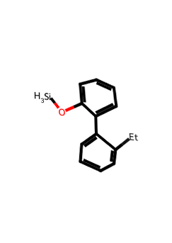 CCc1ccccc1-c1ccccc1O[SiH3]